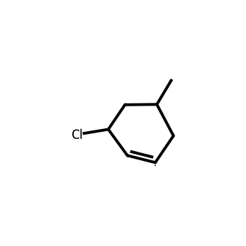 CC1C[C]=CC(Cl)C1